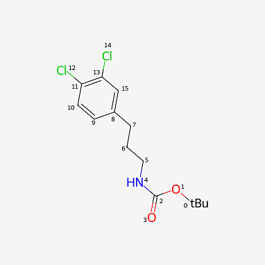 CC(C)(C)OC(=O)NCCCc1ccc(Cl)c(Cl)c1